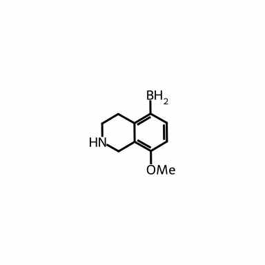 Bc1ccc(OC)c2c1CCNC2